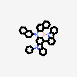 c1ccc(-n2c3ccccc3c3c4c5c(cc32)N(c2ccc3ccccc3c2)c2ccc3ccccc3c2B5n2c3ccccc3c3cccc-4c32)cc1